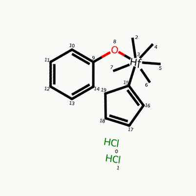 Cl.Cl.[CH3][Hf]([CH3])([CH3])([CH3])([CH3])([O]c1ccccc1)[C]1=CC=CC1